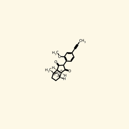 CC#Cc1ccc(C2C(=O)[C@H]3[C@@H]4CC[C@@](C)(O4)[C@H]3C2=O)c(OC)c1